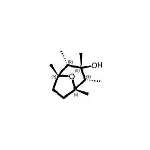 C[C@@H]1[C@](C)(O)[C@H](C)[C@]2(C)CC[C@@]1(C)O2